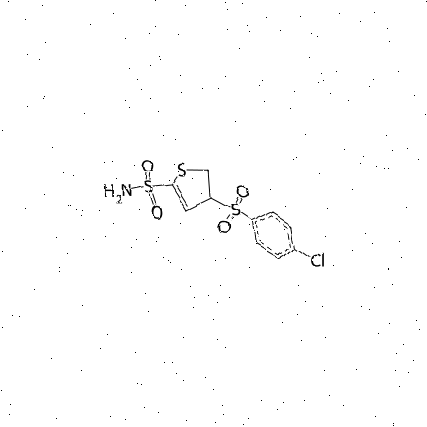 NS(=O)(=O)C1=CC(S(=O)(=O)c2ccc(Cl)cc2)CS1